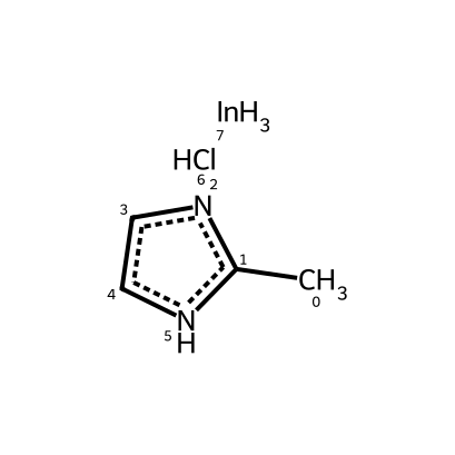 Cc1ncc[nH]1.Cl.[InH3]